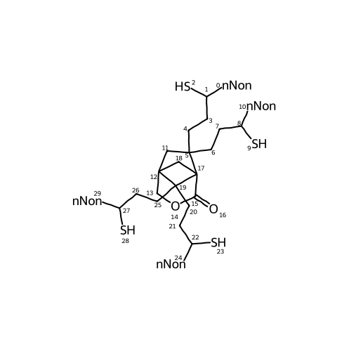 CCCCCCCCCC(S)CCC1(CCC(S)CCCCCCCCC)CC23COC(=O)C1(C2)C3(CCC(S)CCCCCCCCC)CCC(S)CCCCCCCCC